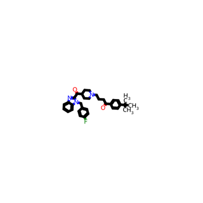 CC(C)(C)c1ccc(C(=O)CCCN2CCC(C(=O)c3nc4ccccc4n3Cc3ccc(F)cc3)CC2)cc1